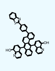 Oc1ccc(-c2c3ccccc3c(-c3ccc(O)c4ncccc34)c3c2ccc2c(-c4ccc(-c5nc6ccccc6s5)cc4)cccc23)c2cccnc12